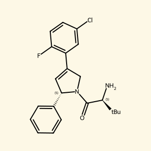 CC(C)(C)[C@H](N)C(=O)N1CC(c2cc(Cl)ccc2F)=C[C@H]1c1ccccc1